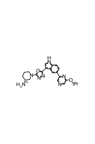 CC(C)Oc1cncc(-c2ccc3[nH]cc(-c4nnc(N5CCC[C@H](N)C5)o4)c3c2)n1